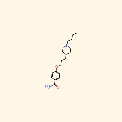 CCCCN1CCC(CCCOc2ccc(C(N)=O)cc2)CC1